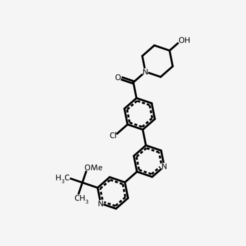 COC(C)(C)c1cc(-c2cncc(-c3ccc(C(=O)N4CCC(O)CC4)cc3Cl)c2)ccn1